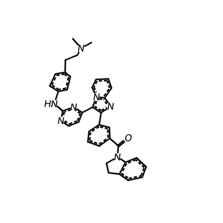 CN(C)CCc1ccc(Nc2nccc(-c3c(-c4cccc(C(=O)N5CCc6ccccc65)c4)nc4ccccn34)n2)cc1